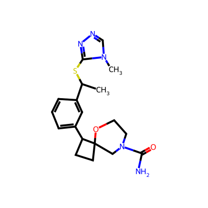 CC(Sc1nncn1C)c1cccc(C2CCC23CN(C(N)=O)CCO3)c1